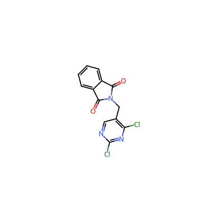 O=C1c2ccccc2C(=O)N1Cc1cnc(Cl)nc1Cl